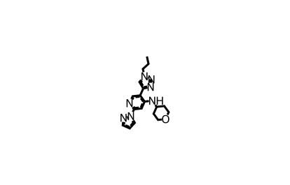 CCCn1cc(-c2cnc(-n3cccn3)cc2NC2CCOCC2)nn1